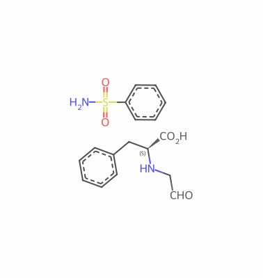 NS(=O)(=O)c1ccccc1.O=CCN[C@@H](Cc1ccccc1)C(=O)O